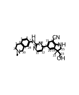 CN1CCc2ccc(Nc3nccc(-c4cc(C#N)c5c(c4)[C@@](C)(CO)CN5)n3)cc2C1